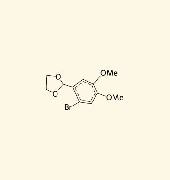 COc1cc(Br)c(C2OCCO2)cc1OC